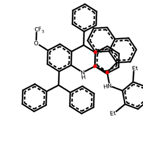 CCc1cccc(CC)c1NC1c2cccc3cccc(c23)C1Nc1c(C(c2ccccc2)c2ccccc2)cc(OC(F)(F)F)cc1C(c1ccccc1)c1ccccc1